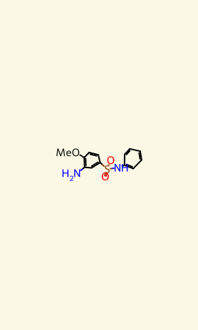 COc1ccc(S(=O)(=O)Nc2ccccc2)cc1N